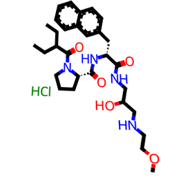 CCC(CC)C(=O)N1CCC[C@H]1C(=O)N[C@H](Cc1ccc2ccccc2c1)C(=O)NCC(O)CNCCOC.Cl